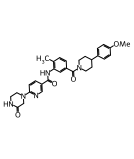 COc1ccc(C2CCN(C(=O)c3ccc(C)c(NC(=O)c4ccc(N5CCNC(=O)C5)nc4)c3)CC2)cc1